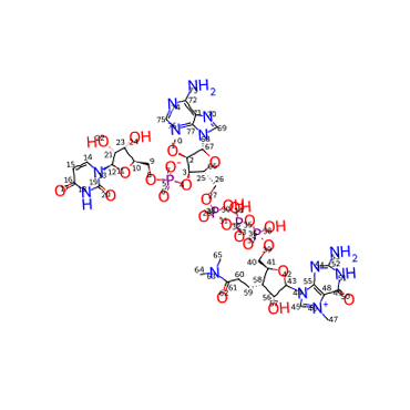 CO[C@@H]1[C@H](OP(=O)([O-])OC[C@H]2O[C@@H](n3ccc(=O)[nH]c3=O)[C@H](O)[C@@H]2O)[C@@H](COP(=O)(O)OP(=O)(O)OP(=O)(O)OC[C@H]2OC(n3c[n+](C)c4c(=O)[nH]c(N)nc43)[C@H](O)[C@@H]2CCC(=O)N(C)C)O[C@H]1n1cnc2c(N)ncnc21